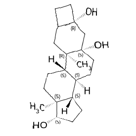 C[C@]12CC[C@H]3[C@@H](CC[C@]4(O)C[C@]5(O)CCC5C[C@]34C)[C@@H]1CC[C@@H]2O